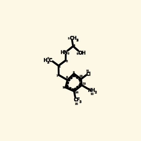 CC(CNC(C)O)Cc1cc(Cl)c(N)c(C(F)(F)F)c1